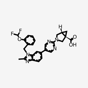 Cc1nc2ccc(-c3cnc(N4C[C@@H]5C[C@]5(C(=O)O)C4)nc3)cc2n1Cc1ccccc1OC(F)F